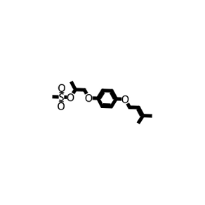 CC(C)=CCOc1ccc(OCC(C)OS(C)(=O)=O)cc1